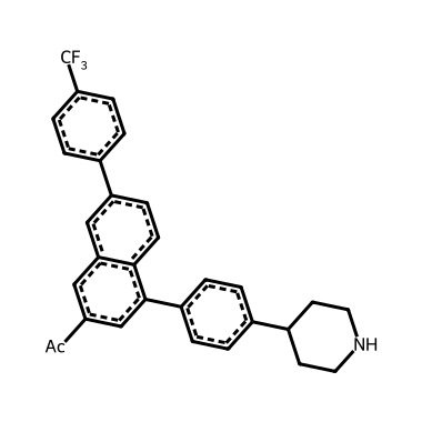 CC(=O)c1cc(-c2ccc(C3CCNCC3)cc2)c2ccc(-c3ccc(C(F)(F)F)cc3)cc2c1